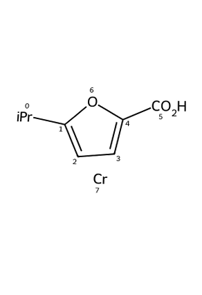 CC(C)c1ccc(C(=O)O)o1.[Cr]